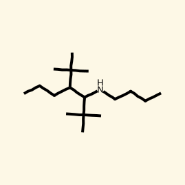 CCCCNC(C(CCC)C(C)(C)C)C(C)(C)C